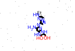 CCNc1ccn2ncc(/N=C3\N=C(NC(CO)CO)C(=N)C=C3N)c2n1